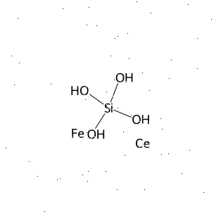 O[Si](O)(O)O.[Ce].[Fe]